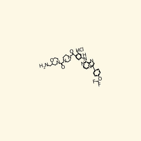 Cc1cc(Nc2nccn3c(-c4ccc(OC(F)F)cc4)cnc23)ccc1C(=O)N1CCN(C(=O)N2CCOC(CN)C2)CC1.Cl